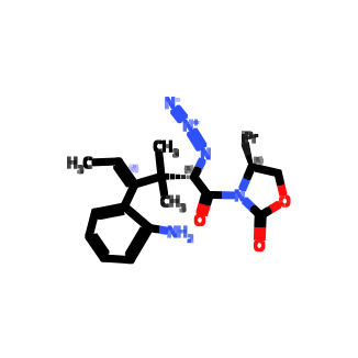 C/C=C(\c1ccccc1N)C(C)(C)[C@H](N=[N+]=[N-])C(=O)N1C(=O)OC[C@@H]1C(C)C